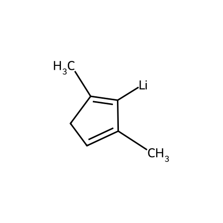 [Li][C]1=C(C)CC=C1C